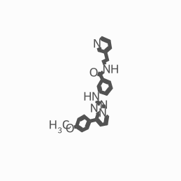 COc1ccc(-c2cccn3nc(Nc4cccc(C(=O)NCCc5cccnc5)c4)nc23)cc1